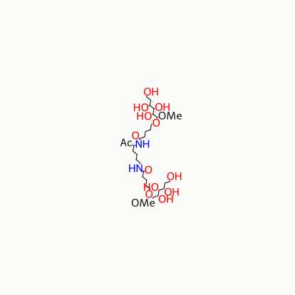 COC(OCCCCC(=O)NCCCC[C@H](NC(=O)CCCCOC(OC)C(O)C(O)C(O)CCO)C(C)=O)C(O)C(O)C(O)CCO